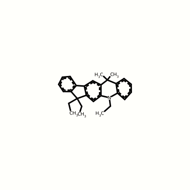 CCN1c2ccccc2C(C)(C)c2cc3c(cc21)C(CC)(CC)c1ccccc1-3